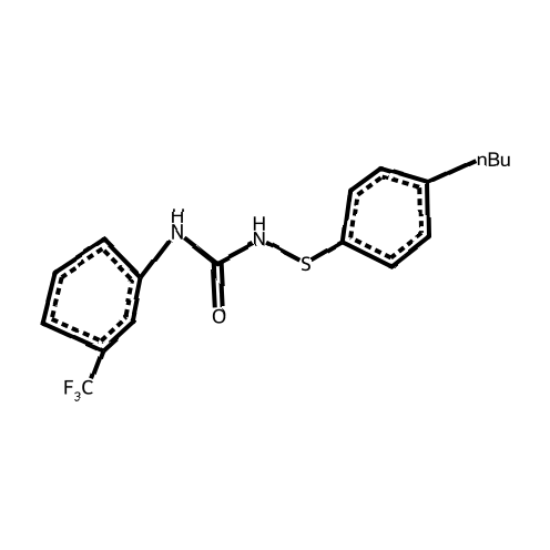 CCCCc1ccc(SNC(=O)Nc2cccc(C(F)(F)F)c2)cc1